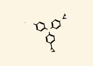 COc1ccc(N(c2ccc(C3CO3)cc2)c2ccc([C@H]3CO3)cc2)cc1